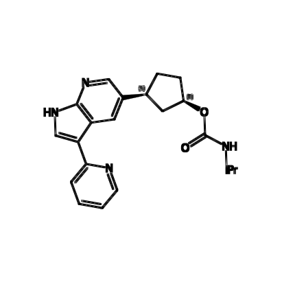 CC(C)NC(=O)O[C@@H]1CC[C@H](c2cnc3[nH]cc(-c4ccccn4)c3c2)C1